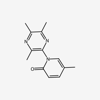 Cc1ccc(=O)n(-c2nc(C)c(C)nc2C)c1